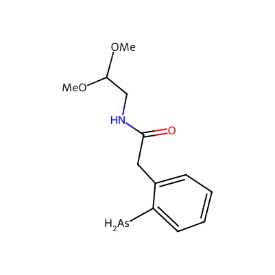 COC(CNC(=O)Cc1ccccc1[AsH2])OC